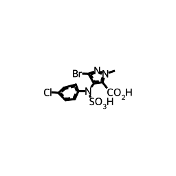 Cn1nc(Br)c(N(c2ccc(Cl)cc2)S(=O)(=O)O)c1C(=O)O